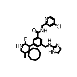 CC1CNC(F)C(c2cc(CNC3=NCCN3)cc(C(=O)NCc3cc(Cl)ccn3)c2)C12CCCCCCC2